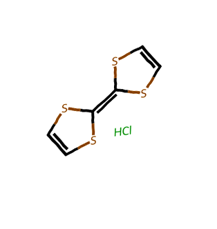 C1=CSC(=C2SC=CS2)S1.Cl